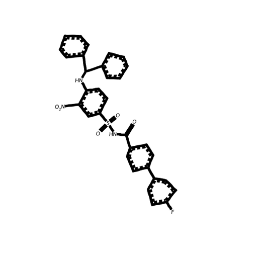 O=C(NS(=O)(=O)c1ccc(NC(c2ccccc2)c2ccccc2)c([N+](=O)[O-])c1)c1ccc(-c2ccc(F)cc2)cc1